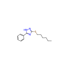 CCCCCCSc1n[nH]c(-c2ccccc2)n1